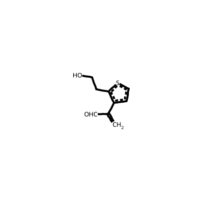 C=C(C=O)c1ccsc1CCO